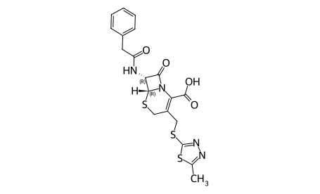 Cc1nnc(SCC2=C(C(=O)O)N3C(=O)[C@@H](NC(=O)Cc4ccccc4)[C@H]3SC2)s1